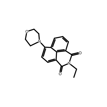 CCN1C(=O)c2cccc3c(N4CCOCC4)ccc(c23)C1=O